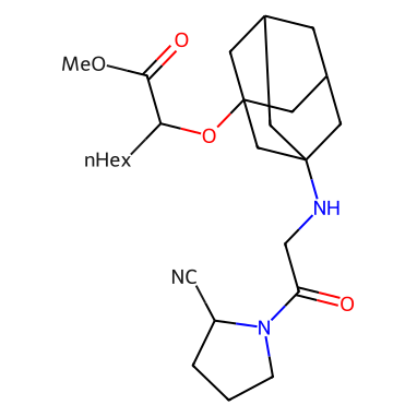 CCCCCCC(OC12CC3CC(CC(NCC(=O)N4CCCC4C#N)(C3)C1)C2)C(=O)OC